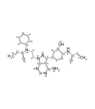 C=CC(=O)Nc1ccc(-c2nn(CCN(C(=O)C=C)c3ccccc3)c3ncnc(N)c23)cc1O